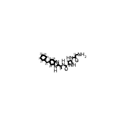 CC(NC(=O)[C@@H]1C[C@@H](NC(=O)CN)CN1)c1nc2ccc(Cc3ccccc3)cc2[nH]1